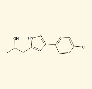 CC(O)Cc1cc(-c2c[c]c(Cl)cc2)n[nH]1